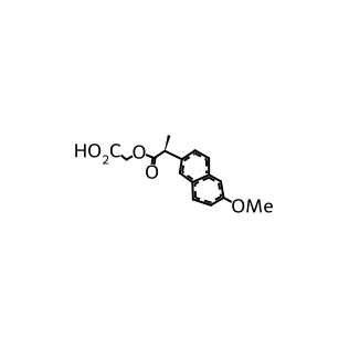 COc1ccc2cc([C@H](C)C(=O)OCC(=O)O)ccc2c1